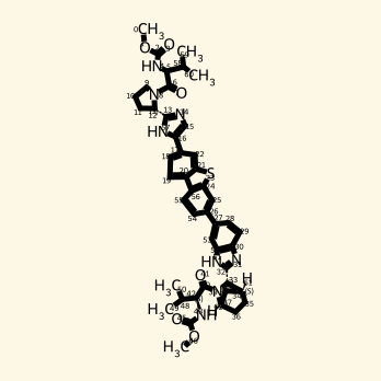 COC(=O)NC(C(=O)N1CCC[C@H]1c1ncc(-c2ccc3c(c2)sc2cc(-c4ccc5nc([C@@H]6[C@H]7CC[C@H](C7)N6C(=O)[C@@H](NC(=O)OC)C(C)C)[nH]c5c4)ccc23)[nH]1)C(C)C